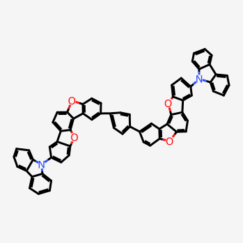 c1ccc2c(c1)c1ccccc1n2-c1ccc2oc3c(ccc4oc5ccc(-c6ccc(-c7ccc8oc9ccc%10c%11cc(-n%12c%13ccccc%13c%13ccccc%13%12)ccc%11oc%10c9c8c7)cc6)cc5c43)c2c1